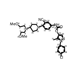 COCCN(CCOC)C1CCN(c2ccc(NC(=O)Oc3cnn(-c4ccc(Cl)cc4)c3C)cc2C#N)CC1